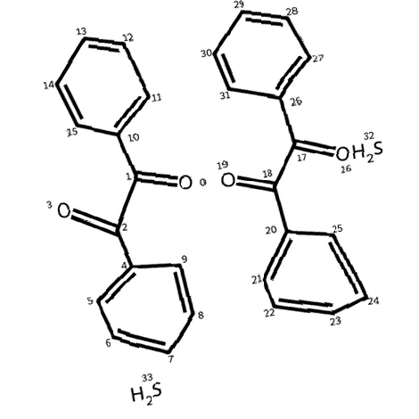 O=C(C(=O)c1ccccc1)c1ccccc1.O=C(C(=O)c1ccccc1)c1ccccc1.S.S